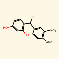 CCC(c1ccc(OC)c(C)c1)c1ccc(O)cc1O